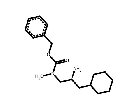 CN(C[C@@H](N)CC1CCCCC1)C(=O)OCc1ccccc1